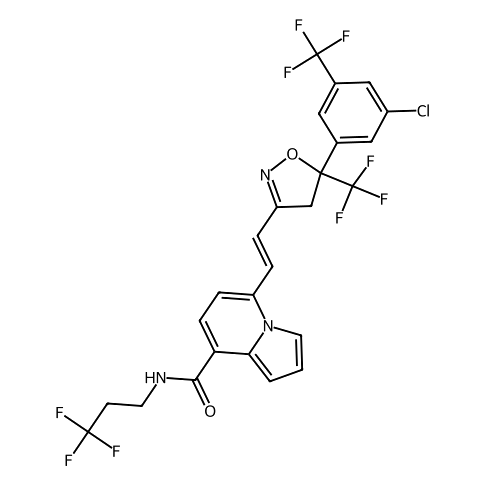 O=C(NCCC(F)(F)F)c1ccc(/C=C/C2=NOC(c3cc(Cl)cc(C(F)(F)F)c3)(C(F)(F)F)C2)n2cccc12